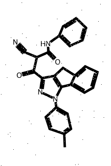 Cc1ccc(-n2nc(C(=O)C(C#N)C(=O)Nc3ccccc3)c3c2-c2ccccc2C3)cc1